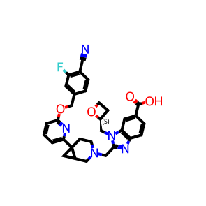 N#Cc1ccc(COc2cccc(C34CCN(Cc5nc6ccc(C(=O)O)cc6n5C[C@@H]5CCO5)CC3C4)n2)cc1F